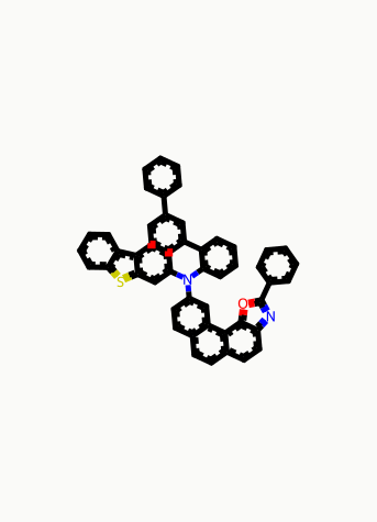 c1ccc(-c2cccc(-c3ccccc3N(c3ccc4c(c3)sc3ccccc34)c3ccc4ccc5ccc6nc(-c7ccccc7)oc6c5c4c3)c2)cc1